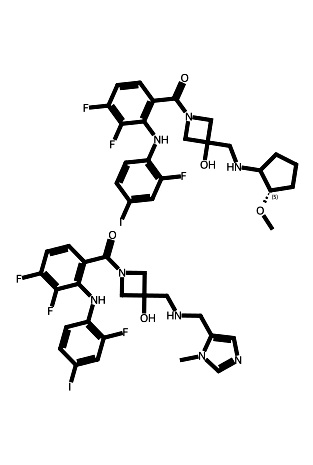 CO[C@H]1CCCC1NCC1(O)CN(C(=O)c2ccc(F)c(F)c2Nc2ccc(I)cc2F)C1.Cn1cncc1CNCC1(O)CN(C(=O)c2ccc(F)c(F)c2Nc2ccc(I)cc2F)C1